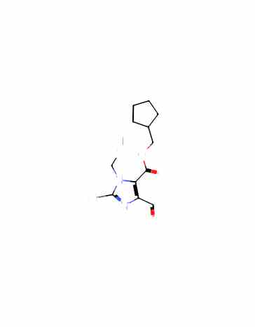 CCn1c(Cl)nc(C=O)c1C(=O)OCC1CCCC1